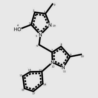 Cc1cc(O)n(Cc2cc(C)nn2-c2ccccc2)n1